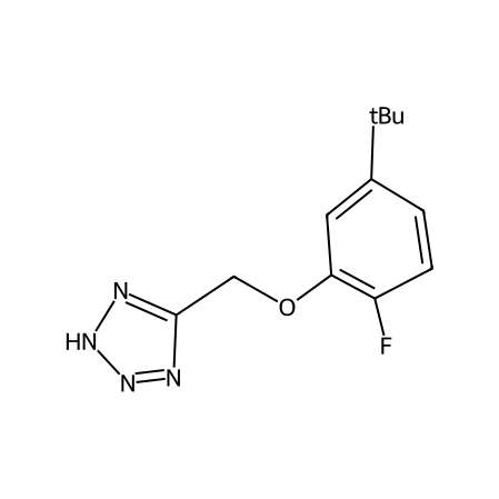 CC(C)(C)c1ccc(F)c(OCc2nn[nH]n2)c1